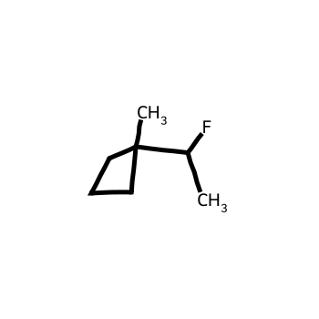 CC(F)C1(C)CCC1